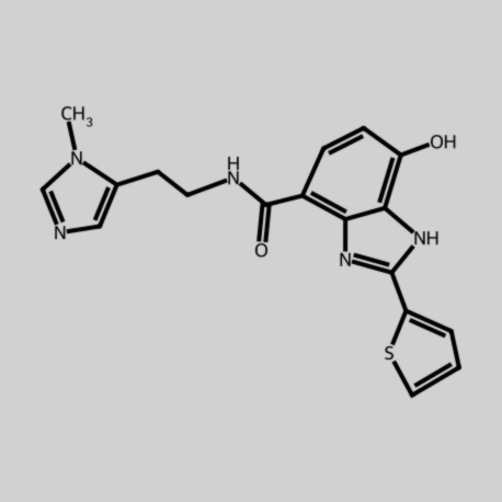 Cn1cncc1CCNC(=O)c1ccc(O)c2[nH]c(-c3cccs3)nc12